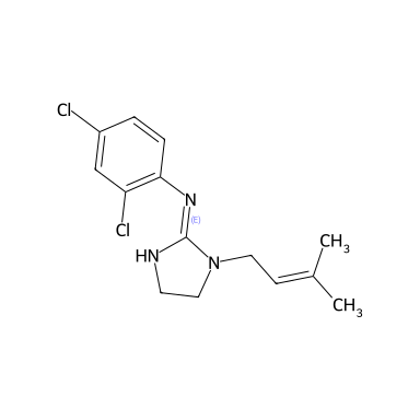 CC(C)=CCN1CCN/C1=N\c1ccc(Cl)cc1Cl